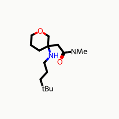 CNC(=O)CC1(NCCCC(C)(C)C)CCCOC1